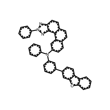 c1ccc(N(c2cccc(-c3ccc4c(c3)oc3ccccc34)c2)c2ccc3ccc4ccc5nn(-c6ccccc6)nc5c4c3c2)cc1